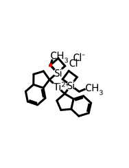 CC[Si]1([C]2([Ti+2][C]3([Si]4(CC)CCC4)CCC4CC=CC=C43)CCC3CC=CC=C32)CCC1.[Cl-].[Cl-]